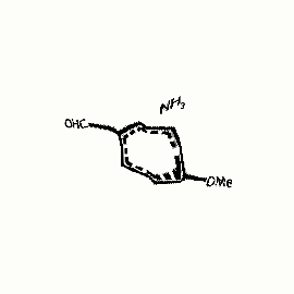 COc1ccc(C=O)cc1.N